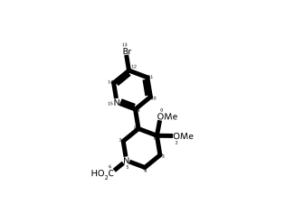 COC1(OC)CCN(C(=O)O)CC1c1ccc(Br)cn1